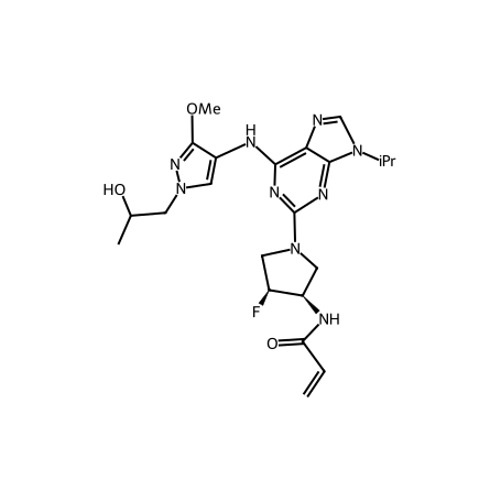 C=CC(=O)N[C@@H]1CN(c2nc(Nc3cn(CC(C)O)nc3OC)c3ncn(C(C)C)c3n2)C[C@@H]1F